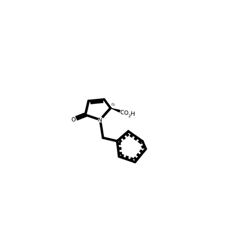 O=C(O)[C@@H]1C=CC(=O)N1Cc1ccccc1